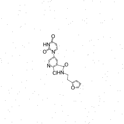 O=C(NCCc1ccco1)c1cc(-n2ccc(=O)[nH]c2=O)cnc1Cl